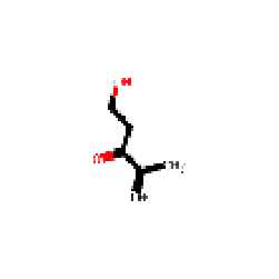 [CH]=C([CH2])C(=O)CCO